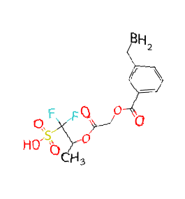 BCc1cccc(C(=O)OCC(=O)OC(C)C(F)(F)S(=O)(=O)O)c1